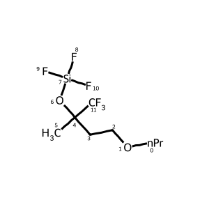 CCCOCCC(C)(O[Si](F)(F)F)C(F)(F)F